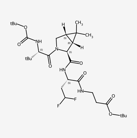 CC(C)(C)OC(=O)CCNC(=O)[C@H](CC(F)F)NC(=O)[C@@H]1[C@@H]2[C@H](CN1C(=O)[C@@H](NC(=O)OC(C)(C)C)C(C)(C)C)C2(C)C